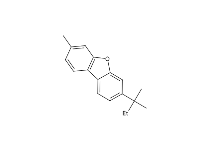 CCC(C)(C)c1ccc2c(c1)oc1cc(C)ccc12